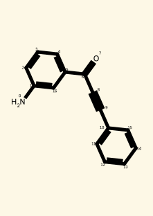 Nc1cccc(C(=O)C#Cc2ccccc2)c1